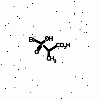 CCP(=O)(O)C(C)C(=O)O